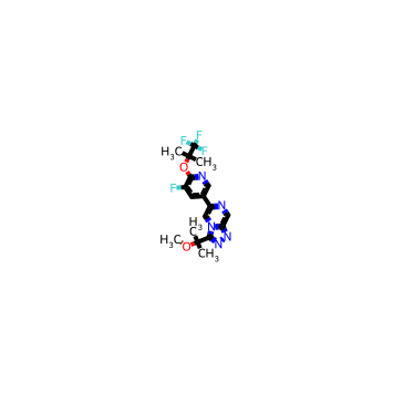 COC(C)(C)c1nnc2cnc(-c3cnc(OC(C)(C)C(F)(F)F)c(F)c3)cn12